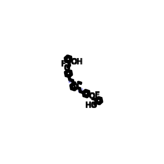 CC[n+]1c(/C=C/c2ccc(OCc3c(O)cccc3F)cc2)cccc1/C=C/c1ccc(OCc2c(O)cccc2F)cc1